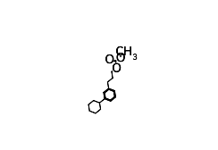 COC(=O)OCCCc1cccc(C2CCCCC2)c1